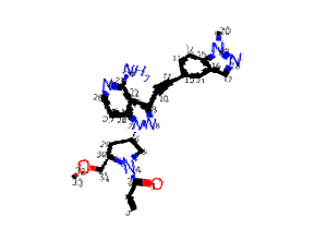 C=CC(=O)N1C[C@@H](n2nc(C#Cc3ccc4c(cnn4C)c3)c3c(N)nccc32)C[C@@H]1COC